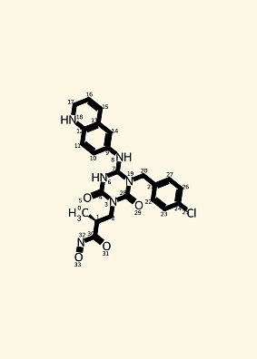 C[C@@H](CN1C(=O)NC(Nc2ccc3c(c2)C=CCN3)N(Cc2ccc(Cl)cc2)C1=O)C(=O)N=O